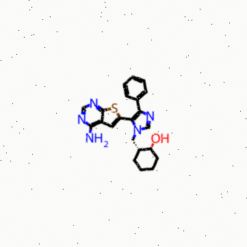 Nc1ncnc2sc(-c3c(-c4ccccc4)ncn3C[C@H]3CCCC[C@@H]3O)cc12